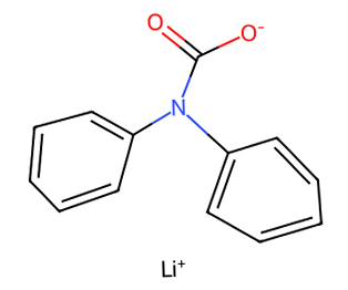 O=C([O-])N(c1ccccc1)c1ccccc1.[Li+]